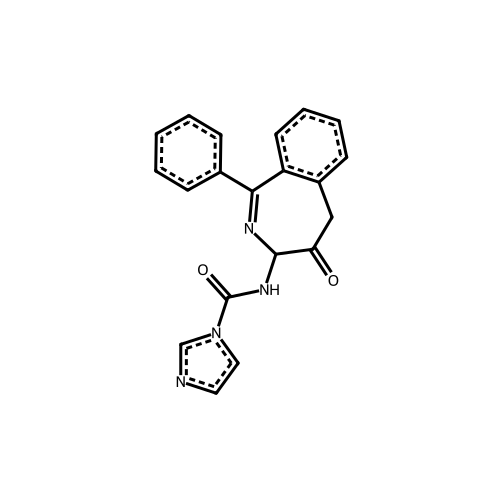 O=C1Cc2ccccc2C(c2ccccc2)=NC1NC(=O)n1ccnc1